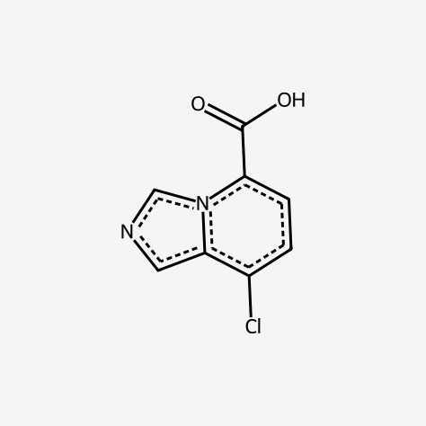 O=C(O)c1ccc(Cl)c2cncn12